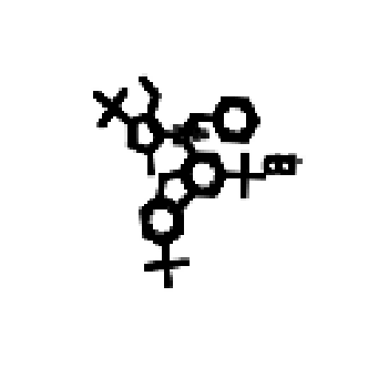 CCC1=[C](/[Zr+2](=[CH]/c2ccccc2)[c]2cc(C(C)(C)C)cc3c2Cc2ccc(C(C)(C)C)cc2-3)C(C)C=C1C(C)(C)C.[Cl-].[Cl-]